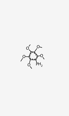 COc1c(P)c(OC)c(OC)c(OC)c1OC